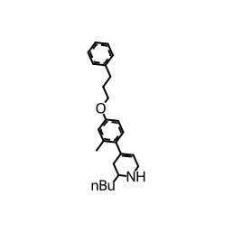 CCCCC1CC(c2ccc(OCCCc3ccccc3)cc2C)=CCN1